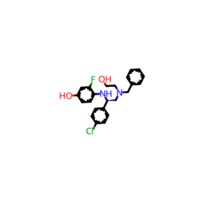 OCCN(Cc1ccccc1)C[C@H](Nc1ccc(O)cc1F)c1ccc(Cl)cc1